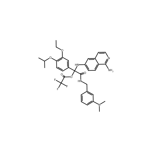 CCOc1cc(C(Nc2ccc3c(N)nccc3c2)(OC(=O)C(F)(F)F)C(=O)NCc2cccc(N(C)C)c2)ccc1OC(C)C